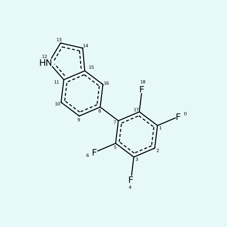 Fc1cc(F)c(F)c(-c2ccc3[nH]ccc3c2)c1F